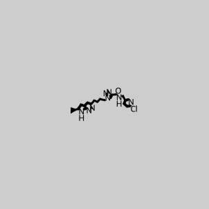 O=C(NCc1ccc(Cl)nc1)c1cn(CCCCc2cc3cc(C4CC4)[nH]c3nn2)nn1